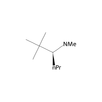 CCC[C@H](NC)C(C)(C)C